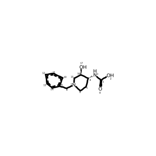 O=C(O)N[C@@H]1CCN(Cc2ccccc2)C[C@H]1O